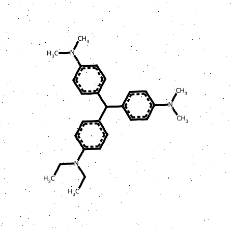 CCN(CC)c1ccc(C(c2ccc(N(C)C)cc2)c2ccc(N(C)C)cc2)cc1